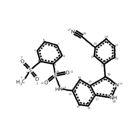 CS(=O)(=O)c1ccccc1S(=O)(=O)Nc1ccc2[nH]nc(-c3cccc(C#N)c3)c2c1